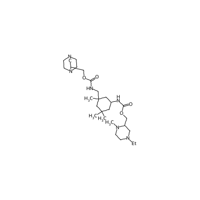 CCN1CCN(C)C(COC(=O)NC2CC(C)(C)CC(C)(CNC(=O)OCC3CN4CCN3CC4)C2)C1